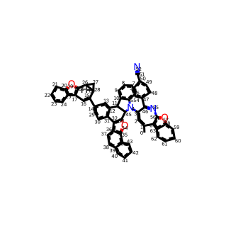 CC1=C=C(N2c3ccccc3C3c4cc(C5=Cc6c(oc7ccccc67)C6C[C@H]56)ccc4-c4c(oc5c4ccc4ccccc45)C32)C(c2ccc(C#N)cc2)=Nc2oc3ccccc3c21